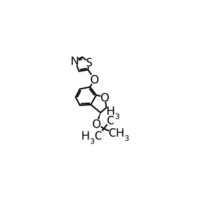 CC(C)(C)O[C@@H]1COc2c(Oc3cncs3)cccc21